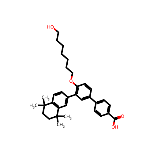 CC1(C)CCC(C)(C)c2cc(-c3cc(-c4ccc(C(=O)O)cc4)ccc3OCCCCCCCO)ccc21